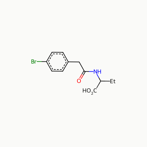 CCC(NC(=O)Cc1ccc(Br)cc1)C(=O)O